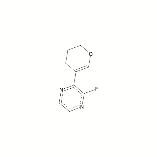 Fc1nccnc1C1=COCCC1